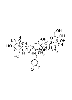 CC1(COCC2(C)C(CO)OC(O)C(N)[C@]2(C)O)CC(CO)C(C)(COCC2(C)OC(CO)C(O)[C@@](C)(O)C2N)[C@@](C)(O)C1NCc1ccc(O)c(O)c1